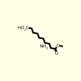 N.O=C(O)CCCCCCCCC(=O)OI